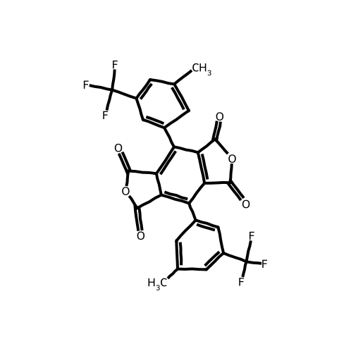 Cc1cc(-c2c3c(=O)oc(=O)c3c(-c3cc(C)cc(C(F)(F)F)c3)c3c(=O)oc(=O)c23)cc(C(F)(F)F)c1